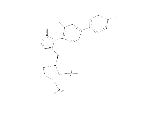 CC(C)(C)C1[C@H](Cc2n[nH]c(=O)n2-c2ccc(-c3ccc(O)cc3)cc2F)CCN1C(=O)O